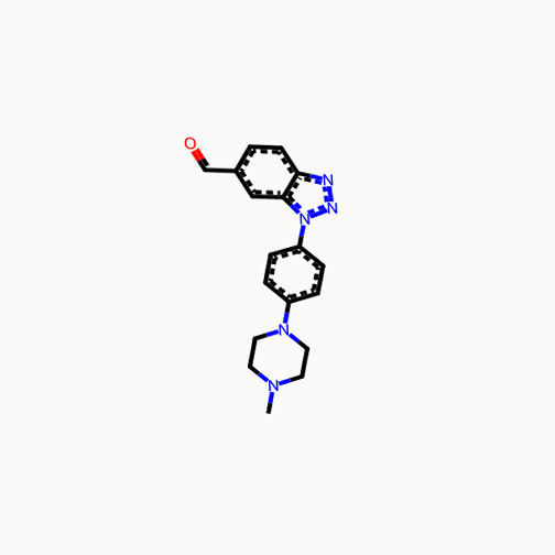 CN1CCN(c2ccc(-n3nnc4ccc(C=O)cc43)cc2)CC1